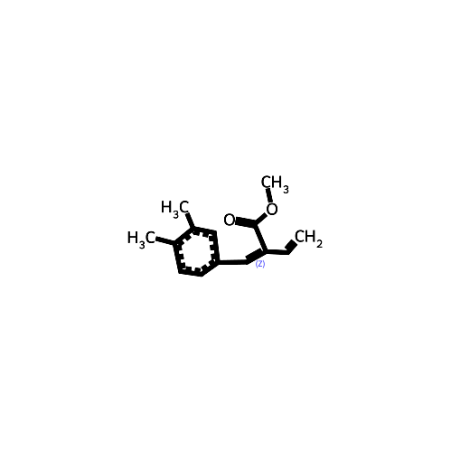 C=C/C(=C/c1ccc(C)c(C)c1)C(=O)OC